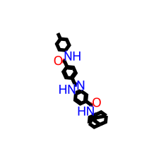 CC1CCC(NC(=O)c2ccc(-c3nc4cc(C(=O)NC56CC7CC(CC(C7)C5)C6)ccc4[nH]3)cc2)CC1